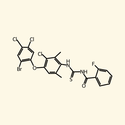 Cc1cc(Oc2cc(Cl)c(Cl)cc2Br)c(Cl)c(C)c1NC(=S)NC(=O)c1ccccc1F